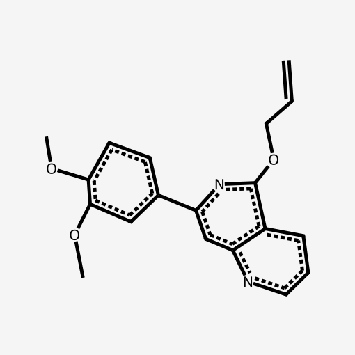 C=CCOc1nc(-c2ccc(OC)c(OC)c2)cc2ncccc12